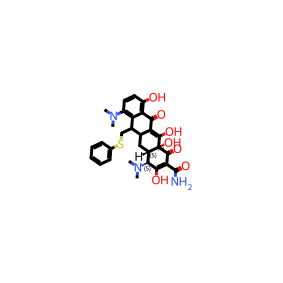 CN(C)c1ccc(O)c2c1C(CSc1ccccc1)C1C[C@H]3[C@H](N(C)C)C(O)=C(C(N)=O)C(=O)[C@@]3(O)C(O)=C1C2=O